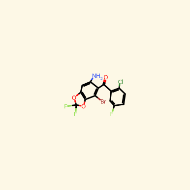 Nc1cc2c(c(Br)c1C(=O)c1cc(F)ccc1Cl)OC(F)(F)O2